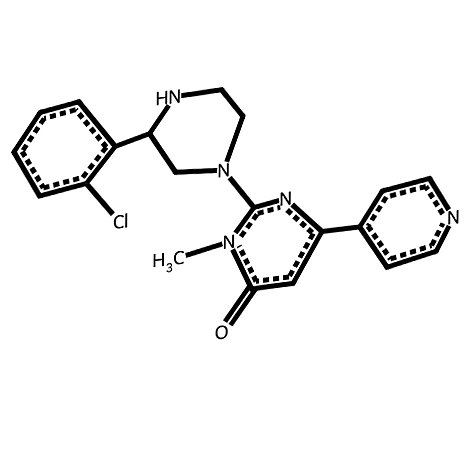 Cn1c(N2CCNC(c3ccccc3Cl)C2)nc(-c2ccncc2)cc1=O